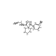 N#CCNC(=O)C1(Nc2cccc(Br)c2)CCCCC1